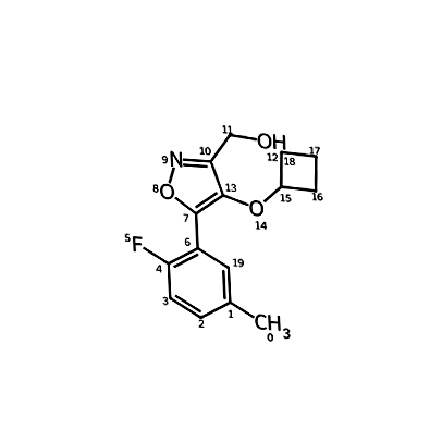 Cc1ccc(F)c(-c2onc(CO)c2OC2CCC2)c1